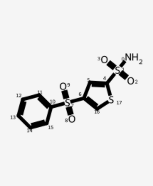 NS(=O)(=O)c1cc(S(=O)(=O)c2ccccc2)cs1